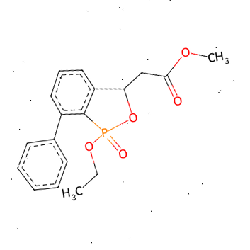 CCOP1(=O)OC(CC(=O)OC)c2cccc(-c3ccccc3)c21